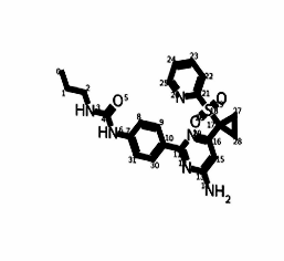 CCCNC(=O)Nc1ccc(-c2nc(N)cc(C3(S(=O)(=O)c4ccccn4)CC3)n2)cc1